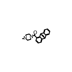 CN1CCN(C(=O)c2cccc3c2C2C=CC3c3ccccc32)CC1